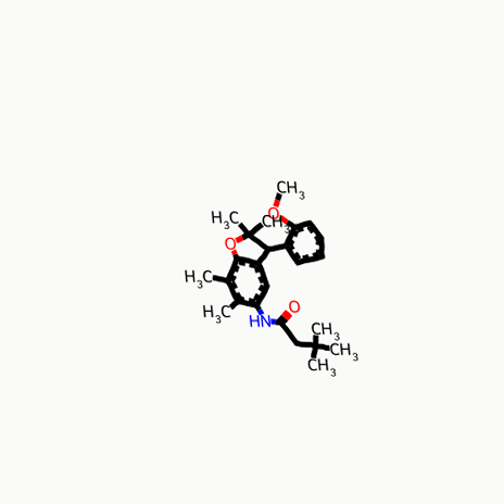 COc1ccccc1C1c2cc(NC(=O)CC(C)(C)C)c(C)c(C)c2OC1(C)C